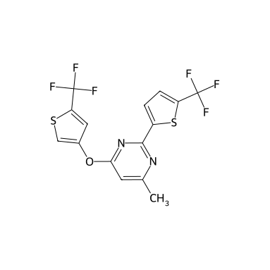 Cc1cc(Oc2csc(C(F)(F)F)c2)nc(-c2ccc(C(F)(F)F)s2)n1